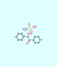 CS(=O)(=O)O.O=C(c1ccccc1)C(O)c1ccccc1